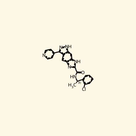 C[C@@H](NC(=O)c1nc2cc3c(-c4ccncc4)n[nH]c3cc2[nH]1)c1ccccc1Cl